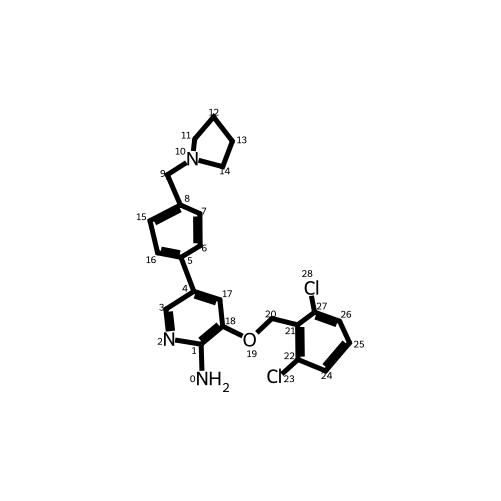 Nc1ncc(-c2ccc([CH]N3CCCC3)cc2)cc1OCc1c(Cl)cccc1Cl